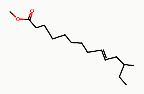 CCC(C)C/C=C/CCCCCCCC(=O)OC